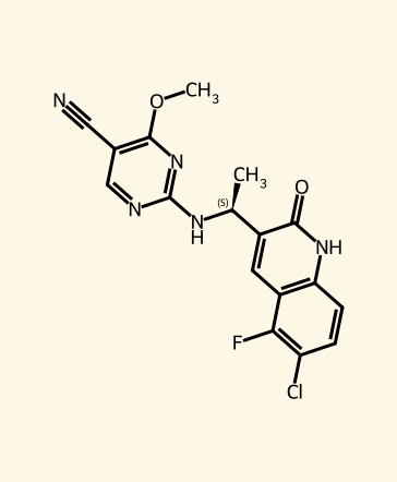 COc1nc(N[C@@H](C)c2cc3c(F)c(Cl)ccc3[nH]c2=O)ncc1C#N